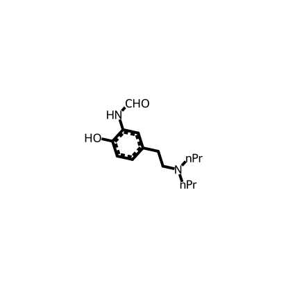 CCCN(CCC)CCc1ccc(O)c(NC=O)c1